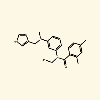 Cc1ccc(C(=O)N(CC(C)C)c2cccc(N(C)Cc3c[nH]cn3)c2)c(C)c1